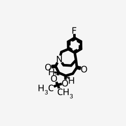 CC1(C)O[C@@H]2C(=O)N3CCC(C(=O)C[C@H]2O1)c1ccc(F)cc1C3